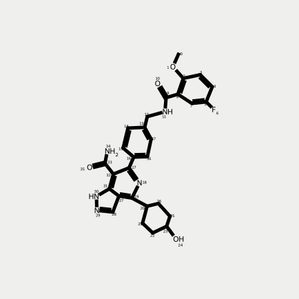 COc1ccc(F)cc1C(=O)NCc1ccc(-c2nc(C3CCC(O)CC3)c3cn[nH]c3c2C(N)=O)cc1